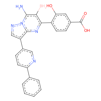 Bc1c(-c2ccc(C(=O)O)cc2O)nc2c(-c3ccc(-c4ccccc4)nc3)cnn2c1N